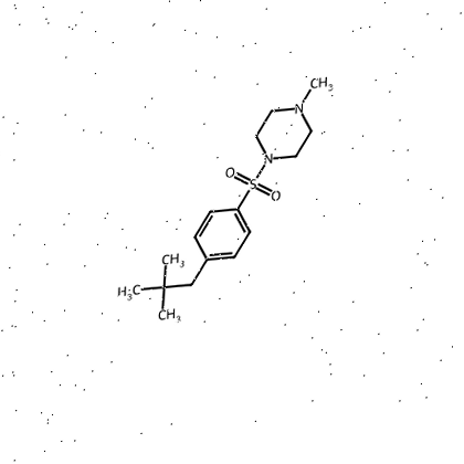 CN1CCN(S(=O)(=O)c2ccc(CC(C)(C)C)cc2)CC1